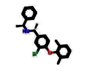 Cc1cccc(C)c1Oc1ccc([C@@H](C)N[C@@H](C)c2ccccc2)cc1Br